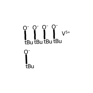 CC(C)(C)[O-].CC(C)(C)[O-].CC(C)(C)[O-].CC(C)(C)[O-].CC(C)(C)[O-].[V+5]